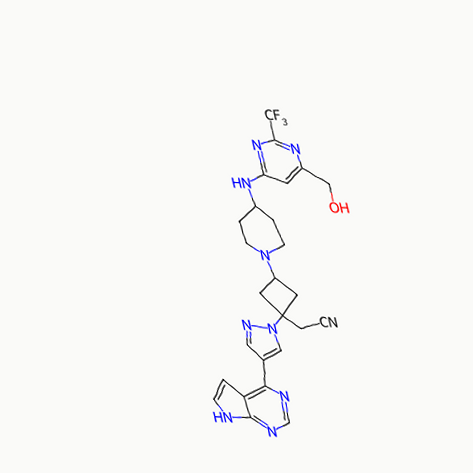 N#CCC1(n2cc(-c3ncnc4[nH]ccc34)cn2)CC(N2CCC(Nc3cc(CO)nc(C(F)(F)F)n3)CC2)C1